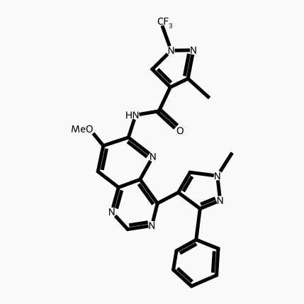 COc1cc2ncnc(-c3cn(C)nc3-c3ccccc3)c2nc1NC(=O)c1cn(C(F)(F)F)nc1C